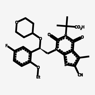 CCOc1ccc(F)cc1[C@@H](Cn1c(=O)n(C(C)(C)C(=O)O)c(=O)c2c(C)c(C#N)sc21)OC1CCOCC1